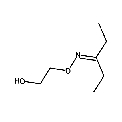 CCC(CC)=NOCCO